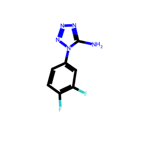 Nc1nnnn1-c1ccc(F)c(F)c1